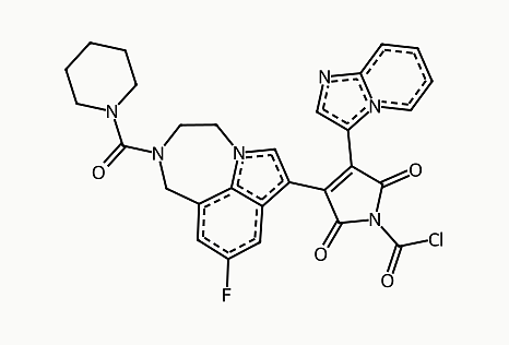 O=C(N1CCCCC1)N1CCn2cc(C3=C(c4cnc5ccccn45)C(=O)N(C(=O)Cl)C3=O)c3cc(F)cc(c32)C1